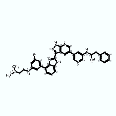 CN(C)CCNc1cc(F)cc(-c2cccc3[nH]c(-c4n[nH]c5ncc(-c6cncc(NC(O)Cc7ccccc7)c6)cc45)nc23)c1